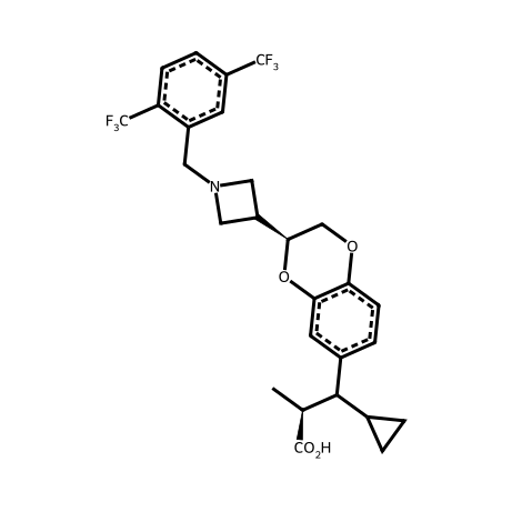 C[C@H](C(=O)O)C(c1ccc2c(c1)O[C@@H](C1CN(Cc3cc(C(F)(F)F)ccc3C(F)(F)F)C1)CO2)C1CC1